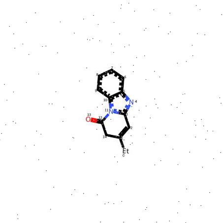 CCC1=Cc2nc3ccccc3n2C(=O)C1